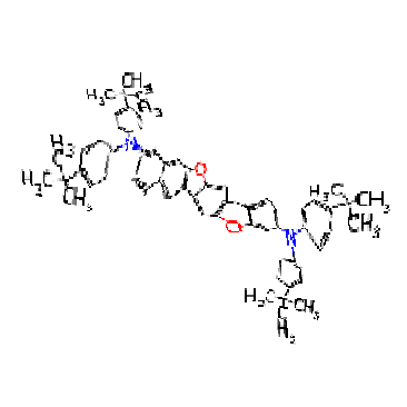 CC(C)(C)c1ccc(N(c2ccc(C(C)(C)C)cc2)c2ccc3cc4c(cc3c2)oc2cc3c(cc24)oc2cc(N(c4ccc(C(C)(C)C)cc4)c4ccc(C(C)(C)C)cc4)ccc23)cc1